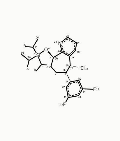 CC(C)[Si](O[C@@H]1CC[C@@H](c2cc(F)cc(F)c2)[C@@H](Cl)c2cccnc21)(C(C)C)C(C)C